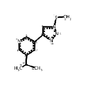 CSn1cc(-c2cncc(C(C)C)c2)nn1